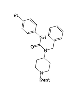 CCCC(C)N1CCC(N(Cc2ccccc2)C(=O)Nc2ccc(CC)cc2)CC1